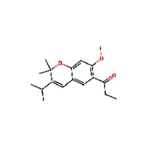 CCC(=O)c1cc2c(cc1OC)OC(C)(C)C(C(C)C)=C2